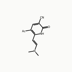 CC(=O)c1cc(C#N)c(=O)[nH]c1/C=C/N(C)C